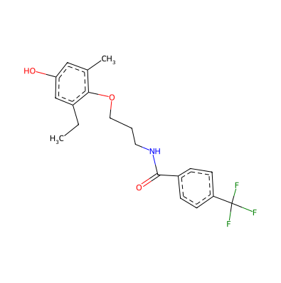 CCc1cc(O)cc(C)c1OCCCNC(=O)c1ccc(C(F)(F)F)cc1